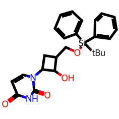 CC(C)(C)[Si](OCC1CC(n2ccc(=O)[nH]c2=O)C1O)(c1ccccc1)c1ccccc1